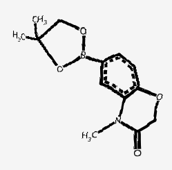 CN1C(=O)COc2ccc(B3OCC(C)(C)CO3)cc21